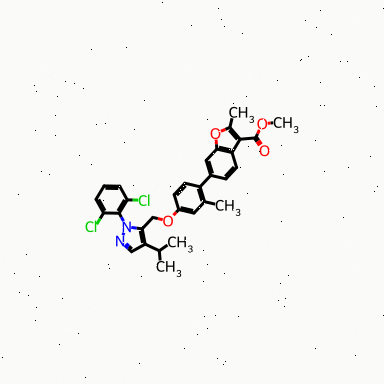 COC(=O)c1c(C)oc2cc(-c3ccc(OCc4c(C(C)C)cnn4-c4c(Cl)cccc4Cl)cc3C)ccc12